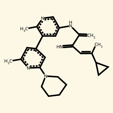 C=C(Nc1cnc(C)c(-c2cc(C)nc(N3CCCCC3)c2)c1)C(=N)/C=C(\C)C1CC1